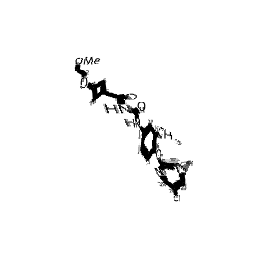 COCCOC1CC(C(=O)NC(=O)Nc2ccc(Oc3ncc(Cl)cn3)c(C)c2)C1